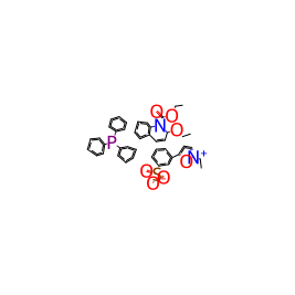 CCOC(=O)N1c2ccccc2C=CC1OCC.CC[n+]1ccc(-c2cccc(S(=O)(=O)[O-])c2)o1.c1ccc(P(c2ccccc2)c2ccccc2)cc1